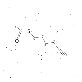 C#CCCCCSC(C)=O